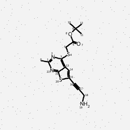 Cc1nc(SCC(=O)OC(C)(C)C)c2cc(C#CCN)sc2n1